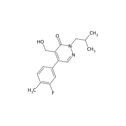 Cc1ccc(-c2cnn(CC(C)C)c(=O)c2CO)cc1F